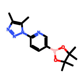 Cc1nnn(-c2ccc(B3OC(C)(C)C(C)(C)O3)cn2)c1C